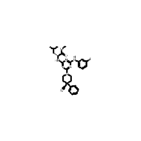 COC(=O)[C@@H](CC(C)C)Nc1nc(Nc2cccc(F)c2)nc(N2CCC(C#N)(c3ccccc3)CC2)n1